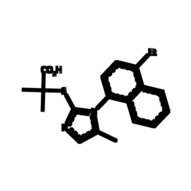 CCc1ccc(-n2c(C)cnc2SC(C)(C)C(=O)O)c2ccccc12